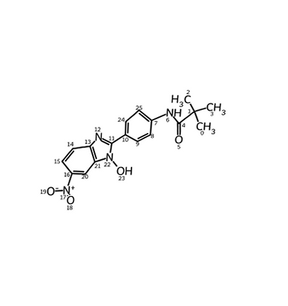 CC(C)(C)C(=O)Nc1ccc(-c2nc3ccc([N+](=O)[O-])cc3n2O)cc1